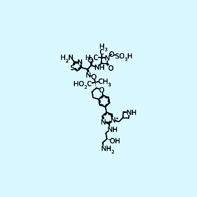 CC(O/N=C(\C(=O)NC1C(=O)N(OS(=O)(=O)O)C1(C)C)c1csc(N)n1)(C(=O)O)[C@H]1CCc2cc(-c3cnc(NC[C@H](O)CN)[n+](CC4CNC4)c3)ccc2O1